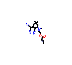 C/C=C/C(=O)OCCN(C)C1=C(C#N)C(=C(C#N)C#N)CC(C)(C)C1